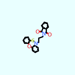 O=C1c2ccccc2C(=O)N1CCCn1sc2ccccc2oc2ccccc21